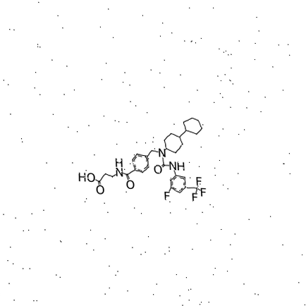 O=C(O)CCNC(=O)c1ccc(CN(C(=O)Nc2cc(F)cc(C(F)(F)F)c2)C2CCC(C3CCCCC3)CC2)cc1